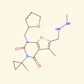 CNNCc1sc2c(c1C)c(=O)n(C1(C)CC1)c(=O)n2CC1CCCO1